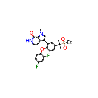 CCS(=O)(=O)C(C)(C)c1ccc(Oc2ccc(F)cc2F)c(-c2cn(C)c3c(=O)[nH]ccc23)c1